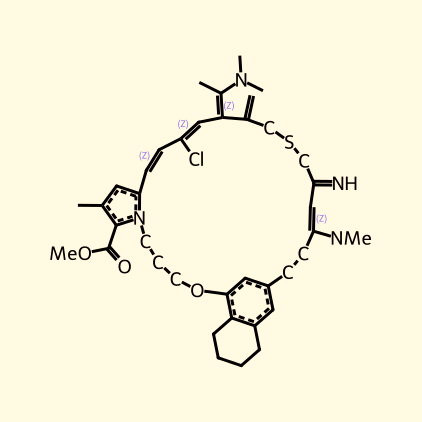 C=C1CSCC(=N)/C=C(\NC)CCc2cc3c(c(c2)OCCCn2c(cc(C)c2C(=O)OC)\C=C/C(Cl)=C/C1=C(\C)N(C)C)CCCC3